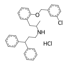 CC(Cc1ccccc1OCc1cccc(Cl)c1)NCCC(c1ccccc1)c1ccccc1.Cl